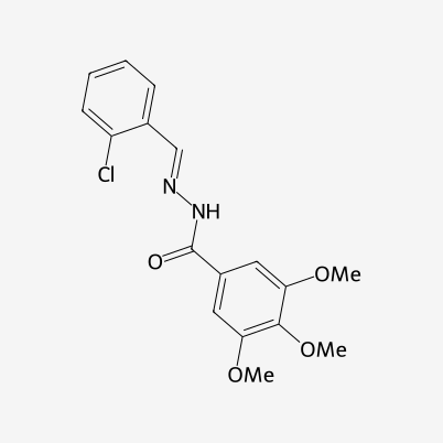 COc1cc(C(=O)N/N=C/c2ccccc2Cl)cc(OC)c1OC